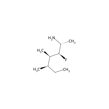 CC[C@@H](C)[C@@H](C)[C@H](F)[C@@H](C)N